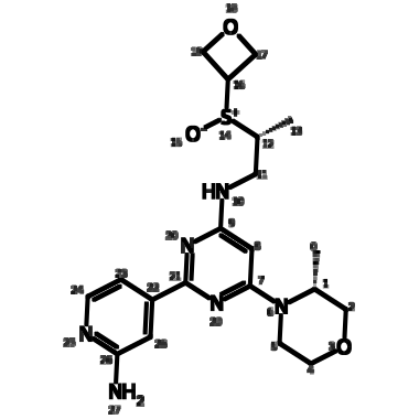 C[C@@H]1COCCN1c1cc(NC[C@@H](C)[S+]([O-])C2COC2)nc(-c2ccnc(N)c2)n1